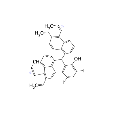 C=Cc1ccc2c(C(c3cc(I)cc(I)c3O)c3cccc4c(/C=C\C)c(C=C)ccc34)cccc2c1/C=C\C